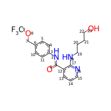 O=C(Nc1ccc(COC(F)(F)F)cc1)c1cccnc1NCCCCO